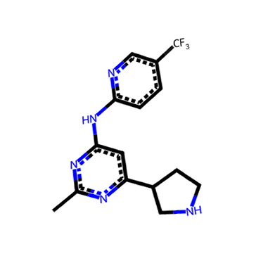 Cc1nc(Nc2ccc(C(F)(F)F)cn2)cc(C2CCNC2)n1